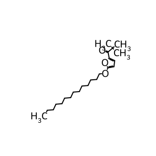 CCCCCCCCCCCCCCOc1ccc(C(=O)C(C)(C)C)o1